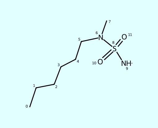 CCCCCCN(C)S([NH])(=O)=O